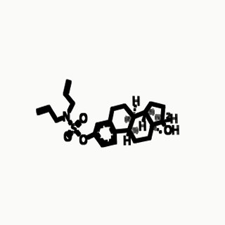 [2H][C@]1(O)CC[C@H]2[C@@H]3CCc4cc(OS(=O)(=O)N(CC=C)CC=C)ccc4[C@H]3CC[C@@]21C